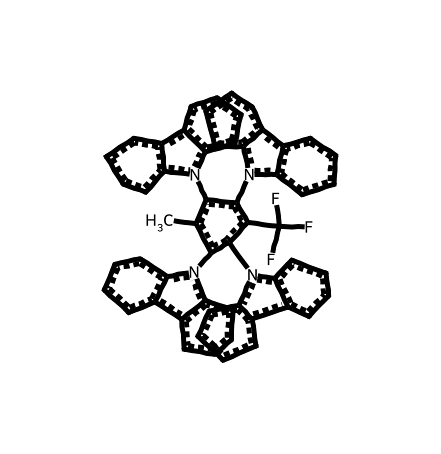 Cc1c(-n2c3ccccc3c3ccccc32)c(-n2c3ccccc3c3ccccc32)c(C(F)(F)F)c(-n2c3ccccc3c3ccccc32)c1-n1c2ccccc2c2ccccc21